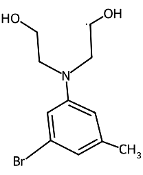 Cc1cc(Br)cc(N(C[CH]O)CCO)c1